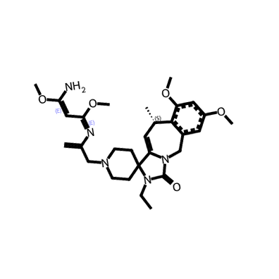 C=C(CN1CCC2(CC1)C1=C[C@H](C)c3c(cc(OC)cc3OC)CN1C(=O)N2CC)/N=C(\C=C(/N)OC)OC